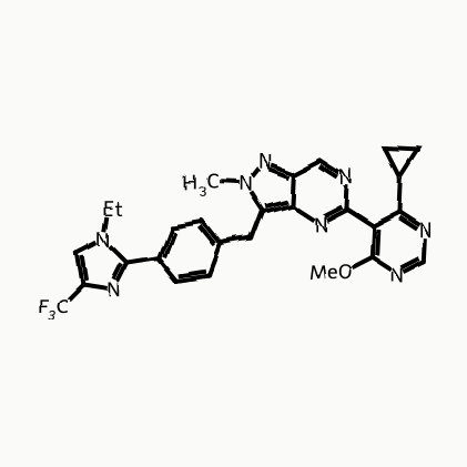 CCn1cc(C(F)(F)F)nc1-c1ccc(Cc2c3nc(-c4c(OC)ncnc4C4CC4)ncc3nn2C)cc1